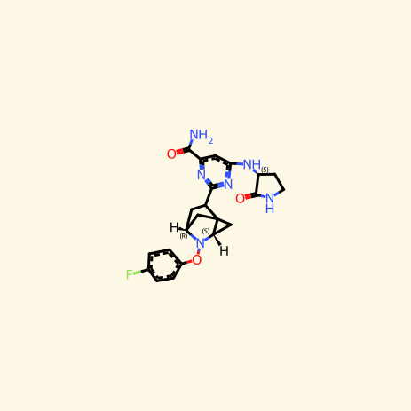 NC(=O)c1cc(N[C@H]2CCNC2=O)nc(C2C[C@@H]3CC24C[C@@H]4N3Oc2ccc(F)cc2)n1